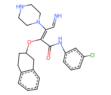 N=C/C(=C(/OC1CCc2ccccc2C1)C(=O)Nc1cccc(Cl)c1)N1CCNCC1